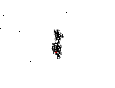 COc1cc(/C=C2\CCCN3C2=NOC3(c2ccc(F)cc2)C(F)F)ccc1-n1cnc(C)c1